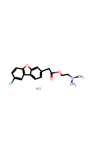 CN(C)CCOC(=O)Cc1ccc2c(c1)oc1ccc(Cl)cc12.Cl